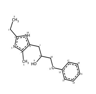 CCc1nc(C)c(CC(O)COc2ccccc2)[nH]1